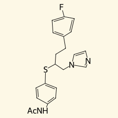 CC(=O)Nc1ccc(SC(CCc2ccc(F)cc2)Cn2ccnc2)cc1